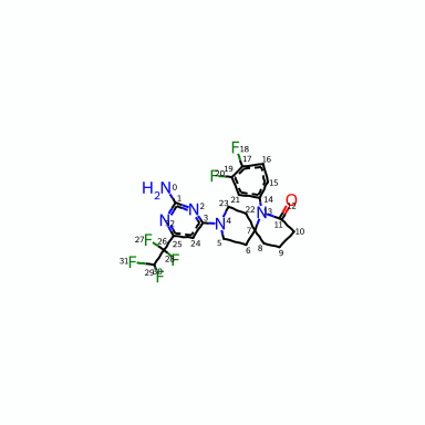 Nc1nc(N2CCC3(CCCC(=O)N3c3ccc(F)c(F)c3)CC2)cc(C(F)(F)C(F)F)n1